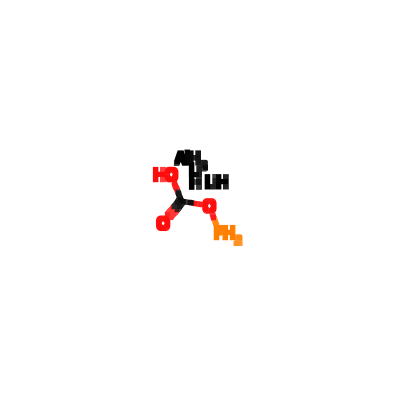 O=C(O)OP.[AlH3].[LiH].[LiH]